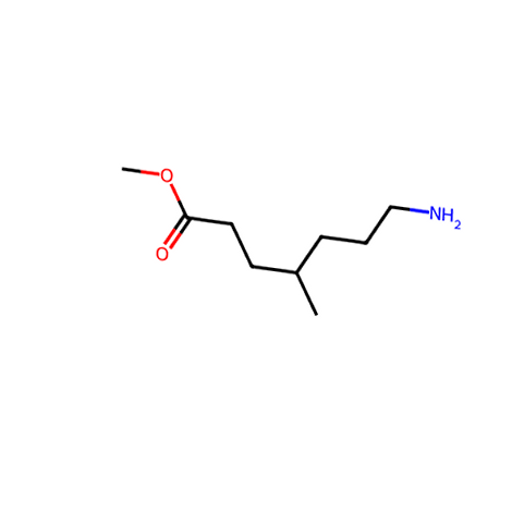 COC(=O)CCC(C)CCCN